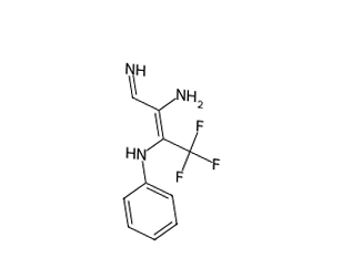 N=C/C(N)=C(\Nc1ccccc1)C(F)(F)F